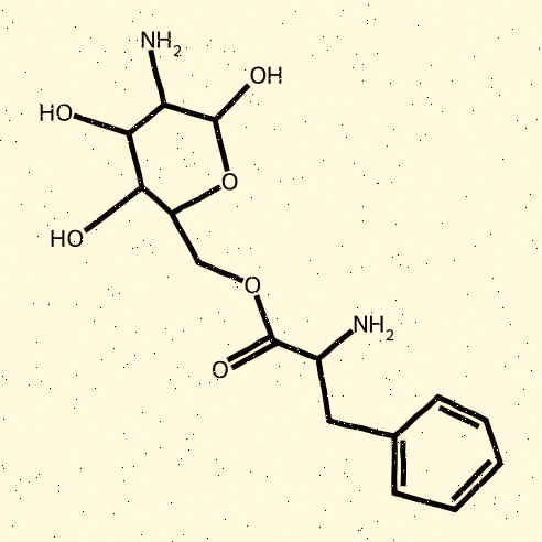 NC(Cc1ccccc1)C(=O)OCC1OC(O)C(N)C(O)C1O